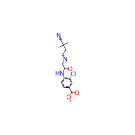 COC(=O)c1ccc(NC(=O)CN=CCC(C)(C)C#N)c(Cl)c1